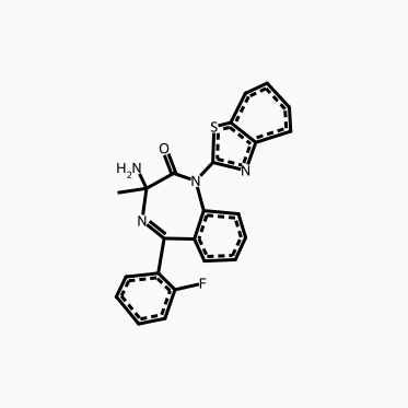 CC1(N)N=C(c2ccccc2F)c2ccccc2N(c2nc3ccccc3s2)C1=O